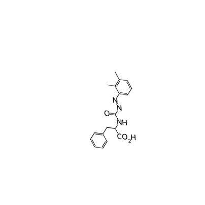 Cc1cccc(/N=N/C(=O)NC(Cc2ccccc2)C(=O)O)c1C